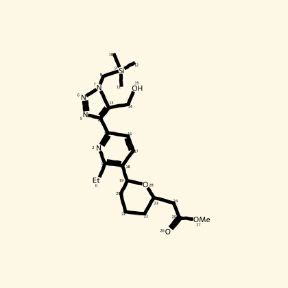 CCc1nc(-c2nnn(C[Si](C)(C)C)c2CO)ccc1C1CCCC(CC(=O)OC)O1